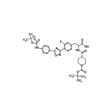 CC(C)(C)OC(=O)Nc1ccc(-c2nc(-c3ccc(CC(NC(=O)C4CCN(C(=O)OC(C)(C)C)CC4)C(=O)O)cc3F)no2)cc1